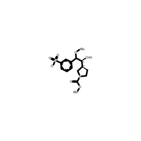 CC(C)(C)OC(=O)N1CC[C@H]([C@H](C=O)C(OC(C)(C)C)c2cccc(S(=O)(=O)Cl)c2)C1